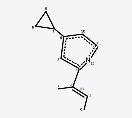 C/C=C(\C)c1cc(C2CC2)ccn1